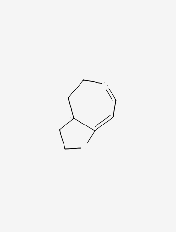 C1=NCCC2CCSC2=C1